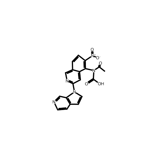 CC(=O)N(C(=O)O)c1c([N+](=O)[O-])ccc2cnc(-n3ccc4ccncc43)cc12